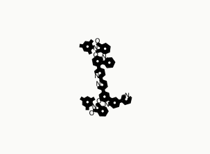 Cc1cc(C)c(N2C(=O)c3cccc(-n4c5ccc(-c6cccnc6)cc5c5cc(-c6ccc(-c7ccc(-c8cccc9c8c8ccccc8n9-c8cccc9c8C(=O)N(c8c(C)cc(C)cc8C)C9=O)cn7)nc6)ccc54)c3C2=O)c(C)c1